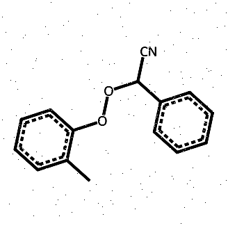 Cc1ccccc1OOC(C#N)c1ccccc1